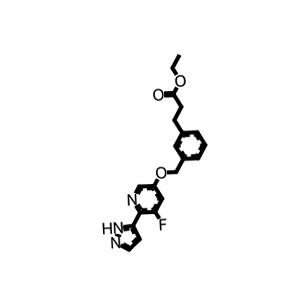 CCOC(=O)CCc1cccc(COc2cnc(-c3ccn[nH]3)c(F)c2)c1